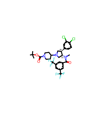 CN(C(=O)c1cc(C(F)(F)F)cc(C(F)(F)F)c1)[C@@H]1CN(C2CCN(C(=O)OC(C)(C)C)CC2)C[C@H]1c1ccc(Cl)c(Cl)c1